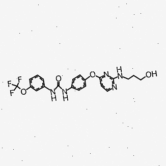 O=C(Nc1ccc(Oc2ccnc(NCCCO)n2)cc1)Nc1cccc(OC(F)(F)F)c1